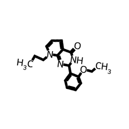 CCCN1C=CC=C2C(=O)NC(c3ccccc3OCC)N=C21